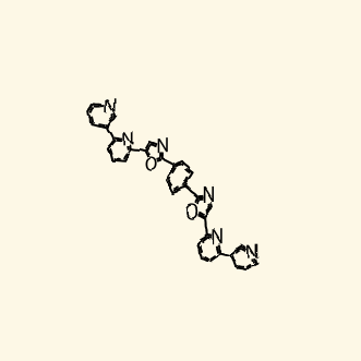 c1cncc(-c2cccc(-c3cnc(-c4ccc(-c5ncc(-c6cccc(-c7cccnc7)n6)o5)cc4)o3)n2)c1